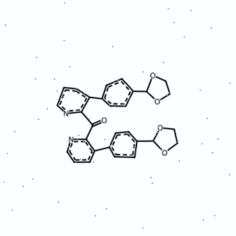 O=C(c1ncccc1-c1ccc(C2OCCO2)cc1)c1ncccc1-c1ccc(C2OCCO2)cc1